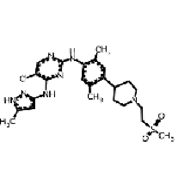 Cc1cc(Nc2nc(Nc3cc(C)c(C4CCN(CCS(C)(=O)=O)CC4)cc3C)ncc2Cl)n[nH]1